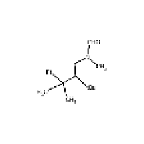 CCC(C)(C)C(CN(C)C=O)C(C)(C)C